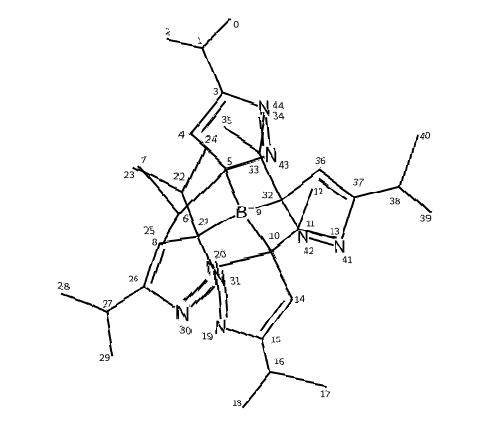 CC(C)C1=CC(C(C)C)([B-](C2(C(C)C)C=C(C(C)C)N=N2)(C2(C(C)C)C=C(C(C)C)N=N2)C2(C(C)C)C=C(C(C)C)N=N2)N=N1